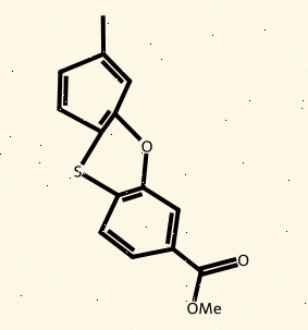 COC(=O)c1ccc2c(c1)Oc1cc(C)ccc1S2